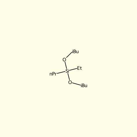 CCC[Si](CC)(OC(C)CC)OC(C)CC